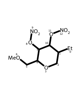 CCC1COC(COC)C(O[N+](=O)[O-])C1O[N+](=O)[O-]